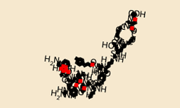 CCCC[C@H](NC(=O)CN1CCC(NC(=O)C(CCCCNC(=S)Nc2cc(CN3CCOCCOCCN(Cc4cccc(C(=O)O)n4)CCOCCOCC3)nc(C(=O)O)c2)NC(=O)CNC(=O)CCCc2ccc(C)cc2)CC1)C(=O)N[C@@H](CC=O)C(=O)N[C@@H](Cc1cnc[nH]1)C(=O)N[C@H](Cc1ccccc1)C(=O)N(C)[C@@H](CCCNC(=N)N)C(=O)N[C@@H](Cc1c[nH]c2ccccc12)C(=O)N(C)[C@@H](CCCCN)C(N)=O